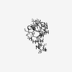 [2H]c1c(C(C)(C)C#N)c([2H])c(C(C#N)(C([2H])([2H])[2H])C([2H])([2H])[2H])c([2H])c1C([2H])([2H])n1cncn1